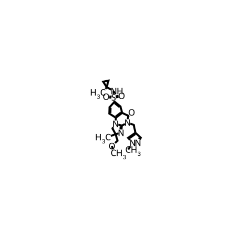 COCC1(C)CN2C(=N1)N(Cc1cnn(C)c1)C(=O)c1cc(S(=O)(=O)NC3(C)CC3)ccc12